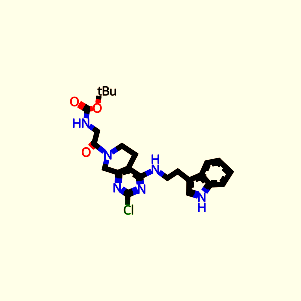 CC(C)(C)OC(=O)NCC(=O)N1CCc2c(nc(Cl)nc2NCCc2c[nH]c3ccccc23)C1